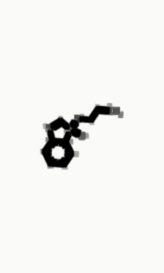 C=CCN=S1(=O)C=Nc2ccccc21